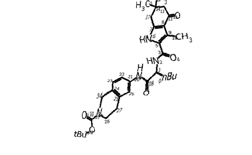 CCCCC(NC(=O)c1[nH]c2c(c1C)C(=O)CC(C)(C)C2)C(=O)Nc1ccc2c(c1)CCN(C(=O)OC(C)(C)C)C2